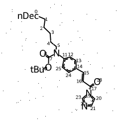 CCCCCCCCCCCCCCCN(C(=O)OC(C)(C)C)c1ccc(C=CC(=O)n2ccnc2)cc1